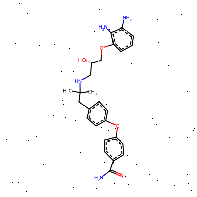 CC(C)(Cc1ccc(Oc2ccc(C(N)=O)cc2)cc1)NC[C@H](O)COc1cccc(N)c1N